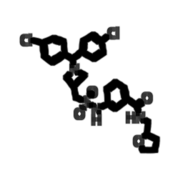 O=C(NCC1CCCO1)c1cccc(NS(=O)(=O)CC2CN(C(c3ccc(Cl)cc3)c3ccc(Cl)cc3)C2)c1